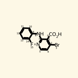 O=C(O)c1c(Br)ccnc1Nc1ccccc1F